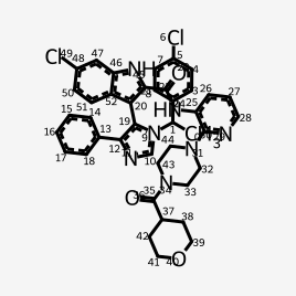 CC(c1ccc(Cl)cc1)n1cnc(-c2ccccc2)c1-c1c(C(=O)Nc2cccnc2N2CCN(C(=O)C3CCOCC3)CC2)[nH]c2cc(Cl)ccc12